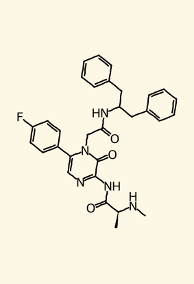 CN[C@@H](C)C(=O)Nc1ncc(-c2ccc(F)cc2)n(CC(=O)NC(Cc2ccccc2)Cc2ccccc2)c1=O